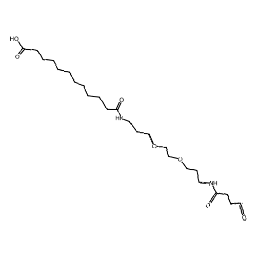 O=[C]CCC(=O)NCCCOCCOCCCNC(=O)CCCCCCCCCCC(=O)O